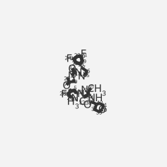 Cc1nn(-c2cc(OC3CN(C(=O)N4N=CC[C@H]4c4cc(F)cc(F)c4)C3)c(F)cn2)c(C)c1NC(=O)C1CCOCC1